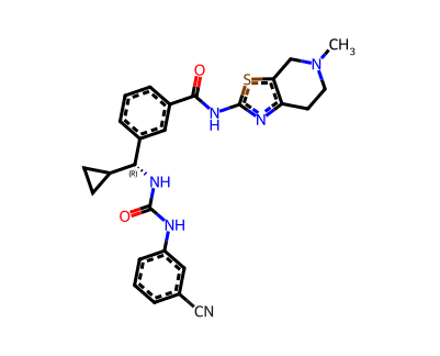 CN1CCc2nc(NC(=O)c3cccc([C@H](NC(=O)Nc4cccc(C#N)c4)C4CC4)c3)sc2C1